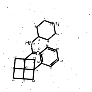 O=C(NC1CCNCC1)C12CC3CC4CC(c5ccccc5)(C1)C342